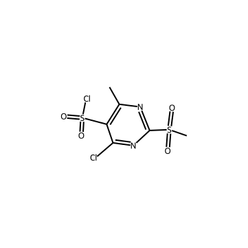 Cc1nc(S(C)(=O)=O)nc(Cl)c1S(=O)(=O)Cl